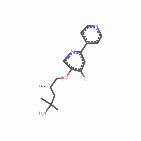 C[C@H](COc1cnc(-c2ccncc2)cc1Cl)CC(C)(C)N